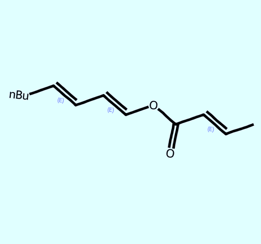 C/C=C/C(=O)O/C=C/C=C/CCCC